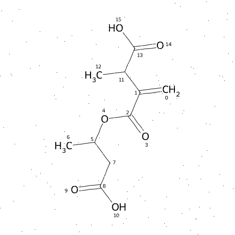 C=C(C(=O)OC(C)CC(=O)O)C(C)C(=O)O